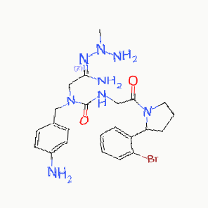 CN(N)/N=C(\N)CN(Cc1ccc(N)cc1)C(=O)NCC(=O)N1CCCC1c1ccccc1Br